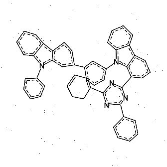 C1=CCCC(c2nc(-c3ccccc3)nc(-c3cccc4c5ccccc5n(-c5cccc(-c6ccc7c8ccccc8n(-c8ccccc8)c7c6)c5)c34)n2)=C1